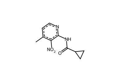 Cc1ccnc(NC(=O)C2CC2)c1[N+](=O)[O-]